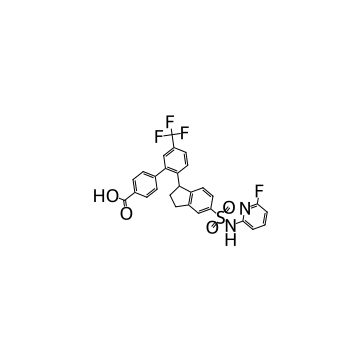 O=C(O)c1ccc(-c2cc(C(F)(F)F)ccc2C2CCc3cc(S(=O)(=O)Nc4cccc(F)n4)ccc32)cc1